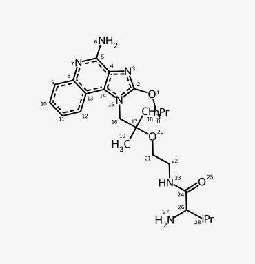 CCCOc1nc2c(N)nc3ccccc3c2n1CC(C)(C)OCCNC(=O)C(N)C(C)C